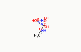 Cc1ccc(NC(=O)CCC(C(=O)O)N2CCN(CC(=O)O)CCN(CC(=O)O)CC2)cc1